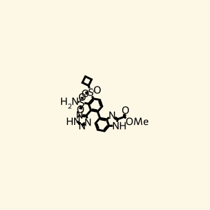 COC(=O)c1nc2c(-c3ccc(S(=O)(=O)C4CCC4)c(S(N)(=O)=O)c3-c3nn[nH]n3)cccc2[nH]1